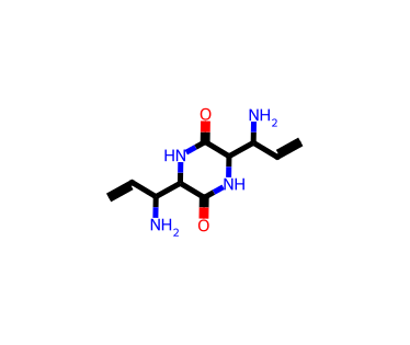 C=CC(N)C1NC(=O)C(C(N)C=C)NC1=O